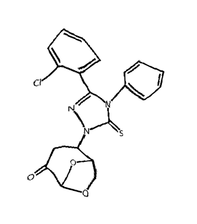 O=C1CC(n2nc(-c3ccccc3Cl)n(-c3ccccc3)c2=S)C2COC1O2